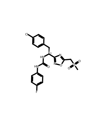 CS(=O)(=O)Cc1nc([C@H](Cc2ccc(Cl)cc2)NC(=O)Nc2ccc(F)cc2)no1